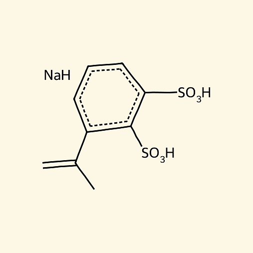 C=C(C)c1cccc(S(=O)(=O)O)c1S(=O)(=O)O.[NaH]